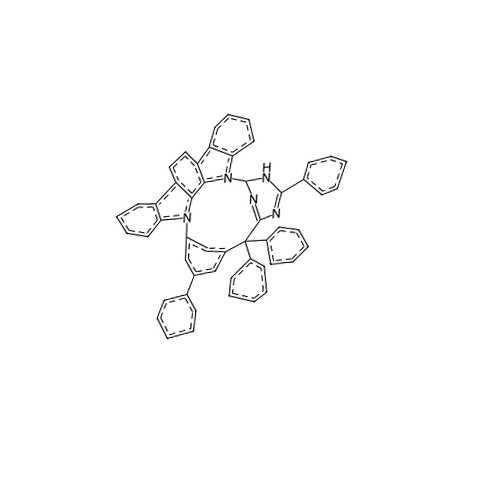 c1ccc(C2=NC3=NC(N2)n2c4ccccc4c4ccc5c6ccccc6n(c5c42)-c2cc(-c4ccccc4)cc(c2)C3(c2ccccc2)c2ccccc2)cc1